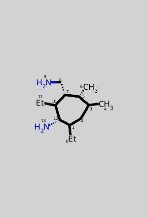 CCC1CC(C)[C@@H](C)[C@@H](CN)C(CC)[C@H]1N